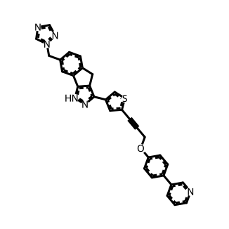 C(#Cc1cc(-c2n[nH]c3c2Cc2ccc(Cn4cncn4)cc2-3)cs1)COc1ccc(-c2cccnc2)cc1